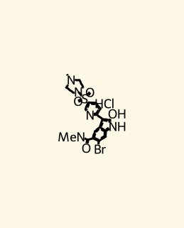 CNC(=O)c1cc2c(-c3ccc(S(=O)(=O)N4CCN(C)CC4)cn3)c(O)[nH]c2cc1Br.Cl